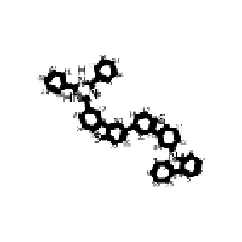 C1=Cc2c(c3ccccc3n2C2C=Cc3sc4ccc(-c5ccc6sc7ccc(C8=NC(c9ccccc9)NC(c9ccccc9)N8)cc7c6c5)cc4c3C2)CC1